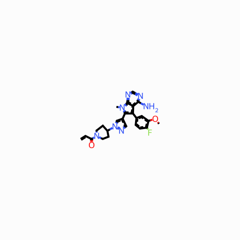 C=CC(=O)N1CCC(n2cc(-c3c(-c4ccc(F)c(OC)c4)c4c(N)ncnc4n3C)cn2)CC1